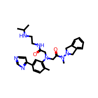 Cc1ccc(-c2ccncn2)cc1N(CC(=O)NCCNC(C)C)CC(=O)N(C)N1Cc2ccccc2C1